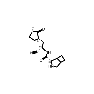 N#C[C@H](C[C@@H]1CCNC1=O)NC(=O)[C@H]1NCC2CCC21